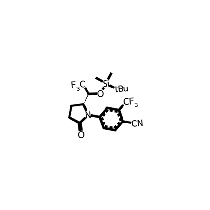 CC(C)(C)[Si](C)(C)OC([C@H]1CCC(=O)N1c1ccc(C#N)c(C(F)(F)F)c1)C(F)(F)F